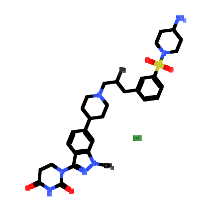 CCC(Cc1cccc(S(=O)(=O)N2CCC(N)CC2)c1)CN1CCC(c2ccc3c(N4CCC(=O)NC4=O)nn(C)c3c2)CC1.Cl